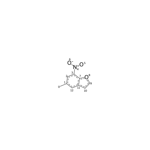 Cc1cc([N+](=O)[O-])c2occc2c1